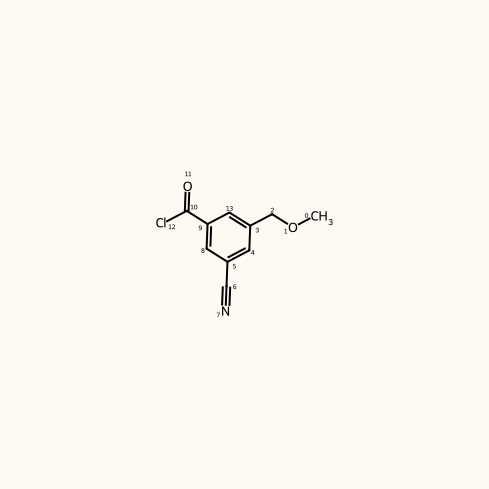 COCc1cc(C#N)cc(C(=O)Cl)c1